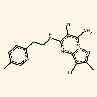 CCc1c(C)nn2c(N)c(C#N)c(NCCc3ccc(C)cn3)nc12